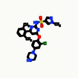 Cc1cccc(C)c1-c1cc(Oc2ccc(N3CCNCC3)cc2Cl)nc(NS(=O)(=O)c2cnn(C)c2)n1